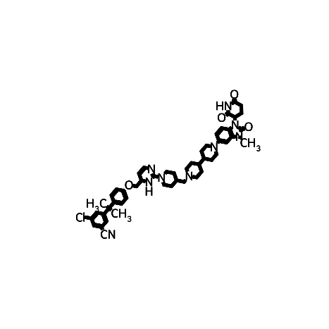 Cn1c(=O)n(C2CCC(=O)NC2=O)c2ccc(N3CCC(C4CCN(CC5CCN(C6=NC=CC(COc7ccc(C(C)(C)c8cc(Cl)cc(C#N)c8)cc7)N6)CC5)CC4)CC3)cc21